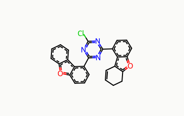 Clc1nc(-c2cccc3oc4c(c23)C=CCC4)nc(-c2cccc3oc4ccccc4c23)n1